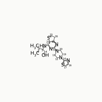 CC(C)C(CO)Nc1nc(N2CCN(c3nccs3)CC2)nc2c1SCC2